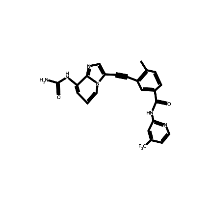 Cc1ccc(C(=O)Nc2cc(C(F)(F)F)ccn2)cc1C#Cc1cnc2c(NC(N)=O)cccn12